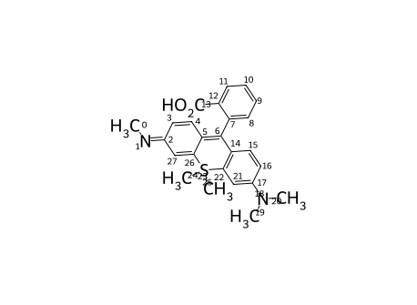 C/N=C1\C=CC2=C(c3ccccc3C(=O)O)c3ccc(N(C)C)cc3S(C)(C)C2=C1